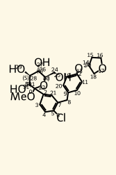 COC1(c2ccc(Cl)c(Cc3ccc(O[C@@H]4CCOC4)cc3)c2)O[C@H](CO)[C@@H](O)[C@H](O)[C@H]1O